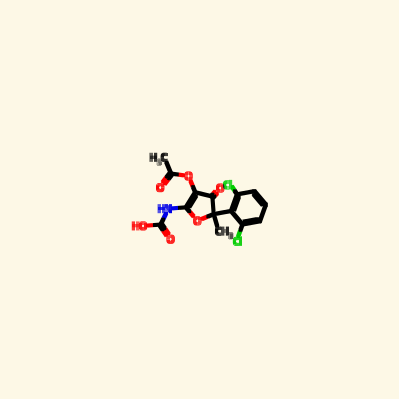 CC(=O)OC1=C(NC(=O)O)OC(C)(c2c(Cl)cccc2Cl)C1=O